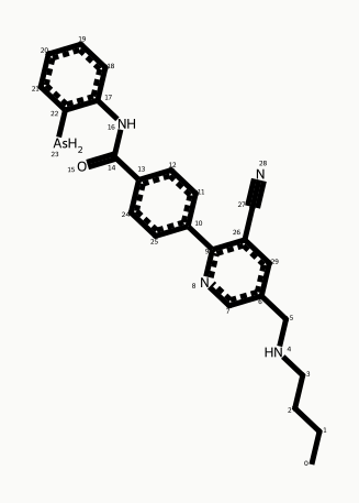 CCCCNCc1cnc(-c2ccc(C(=O)Nc3ccccc3[AsH2])cc2)c(C#N)c1